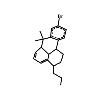 CCCC1CCC2c3ccc(Br)cc3C(C)(C)C3C=CC=C1C23